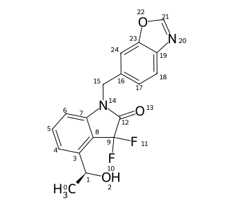 C[C@H](O)c1cccc2c1C(F)(F)C(=O)N2Cc1ccc2ncoc2c1